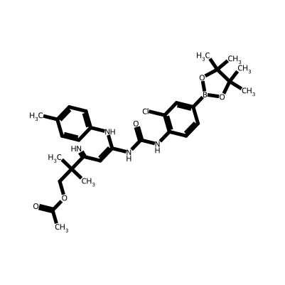 CC(=O)OCC(C)(C)C(=N)/C=C(/NC(=O)Nc1ccc(B2OC(C)(C)C(C)(C)O2)cc1Cl)Nc1ccc(C)cc1